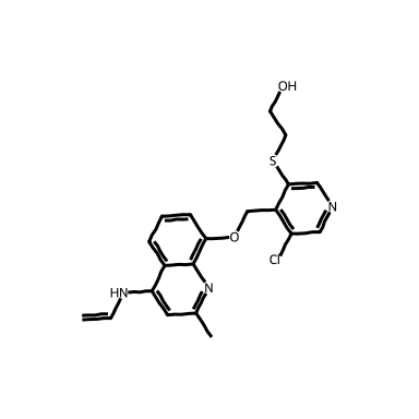 C=CNc1cc(C)nc2c(OCc3c(Cl)cncc3SCCO)cccc12